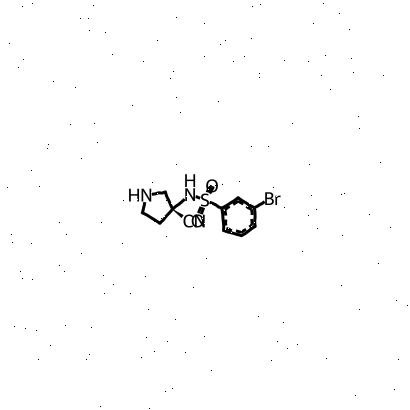 N#C[C@@]1(NS(=O)(=O)c2cccc(Br)c2)CCNC1